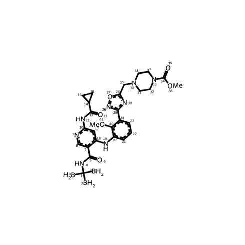 BC(B)(B)NC(=O)c1cnc(NC(=O)C2CC2)cc1Nc1cccc(-c2noc(CN3CCN(C(=O)OC)CC3)n2)c1OC